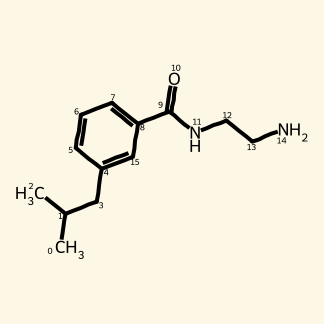 CC(C)Cc1cccc(C(=O)NCCN)c1